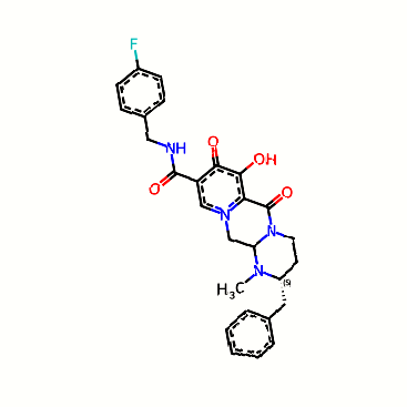 CN1C2Cn3cc(C(=O)NCc4ccc(F)cc4)c(=O)c(O)c3C(=O)N2CC[C@@H]1Cc1ccccc1